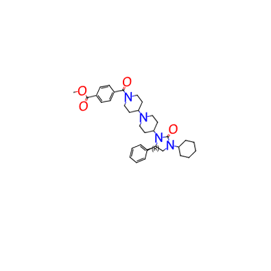 COC(=O)c1ccc(C(=O)N2CCC(N3CCC(N4C(=O)N(C5CCCCC5)C[C@H]4c4ccccc4)CC3)CC2)cc1